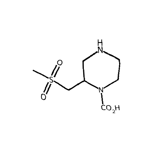 CS(=O)(=O)CC1CNCCN1C(=O)O